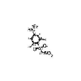 CCNc1cc(C)c(S(=O)(=O)C[N+](=O)[O-])c(C)c1